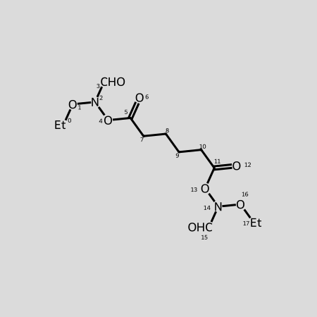 CCON(C=O)OC(=O)CCCCC(=O)ON(C=O)OCC